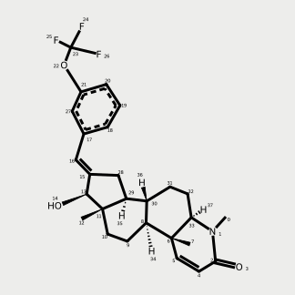 CN1C(=O)C=C[C@]2(C)[C@H]3CC[C@]4(C)[C@@H](O)C(=Cc5cccc(OC(F)(F)F)c5)C[C@H]4[C@@H]3CC[C@@H]12